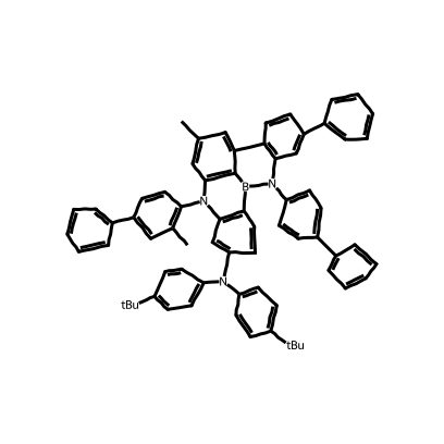 Cc1cc2c3c(c1)N(c1ccc(-c4ccccc4)cc1C)c1cc(N(c4ccc(C(C)(C)C)cc4)c4ccc(C(C)(C)C)cc4)ccc1B3N(c1ccc(-c3ccccc3)cc1)c1cc(-c3ccccc3)ccc1-2